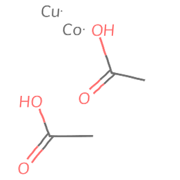 CC(=O)O.CC(=O)O.[Co].[Cu]